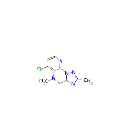 Cc1nc2n(n1)-c1nccc(Cl)c1N(C)C2